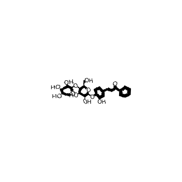 O=C(/C=C/c1ccc(O[C@@H]2O[C@H](CO)[C@H](O[C@H]3OC[C@H](O)[C@H](O)[C@H]3O)[C@H](O)[C@H]2O)c(O)c1)c1ccccc1